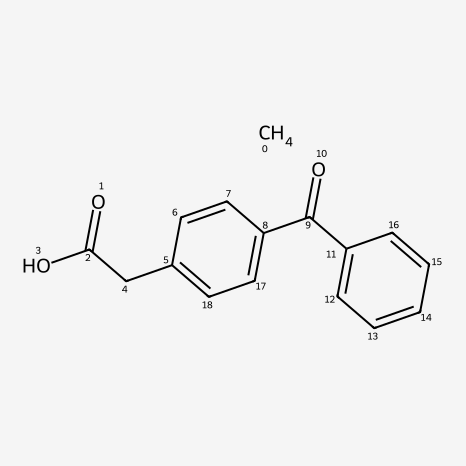 C.O=C(O)Cc1ccc(C(=O)c2ccccc2)cc1